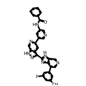 Cc1cc(F)cc(-c2cncc3[nH]c(-c4n[nH]c5cnc(-c6cncc(NC(=O)c7ccccc7)c6)cc45)nc23)c1